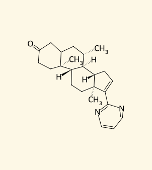 C[C@H]1CC2CC(=O)CC[C@]2(C)[C@H]2CC[C@]3(C)C(c4ncccn4)=CC[C@H]3[C@H]12